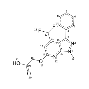 Cn1nc(-c2ccccc2)c2c(C(F)F)cc(OCC(=O)O)nc21